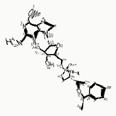 COc1nc(N)nc2c1ncn2[C@@H]1OC(CO[P@@]2(=O)N[C@H](C(=O)O[C@H](C)c3ccccc3)CS2)[C@@H](O)[C@@]1(C)O